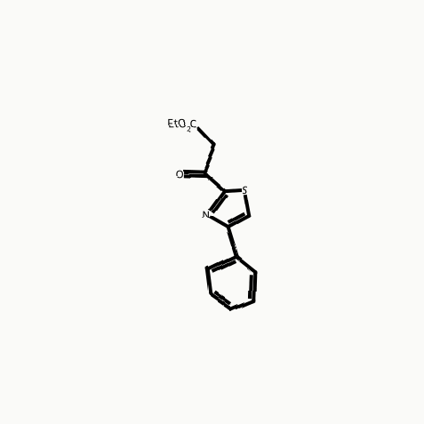 CCOC(=O)CC(=O)c1nc(-c2ccccc2)cs1